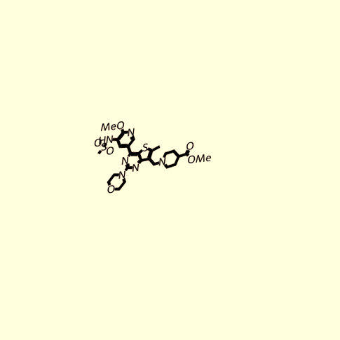 COC(=O)C1CCN(Cc2c(C)sc3c(-c4cnc(OC)c(NS(C)(=O)=O)c4)nc(N4CCOCC4)nc23)CC1